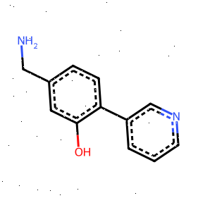 NCc1ccc(-c2cccnc2)c(O)c1